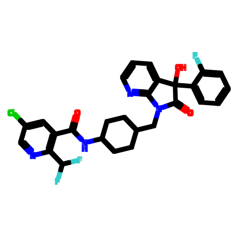 O=C(NC1CCC(CN2C(=O)C(O)(c3ccccc3F)c3cccnc32)CC1)c1cc(Cl)cnc1C(F)F